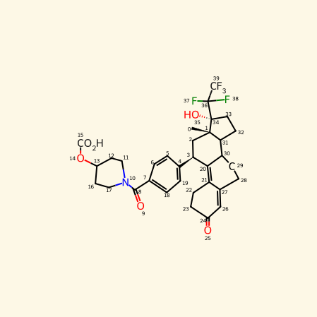 C[C@]12C[C@H](c3ccc(C(=O)N4CCC(OC(=O)O)CC4)cc3)C3=C4CCC(=O)C=C4CCC3C1CC[C@]2(O)C(F)(F)C(F)(F)F